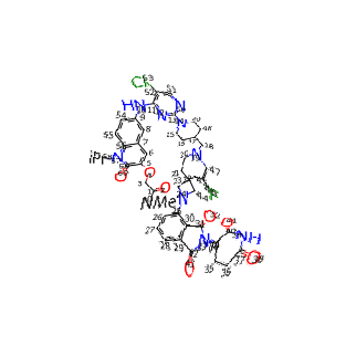 CNC(=O)COc1cc2cc(Nc3nc(N4CCC(CN5CCC6(CN(c7cccc8c7C(=O)N([C@@H]7CCC(=O)NC7=O)C8=O)C6)C(F)C5)CC4)ncc3Cl)ccc2n(C(C)C)c1=O